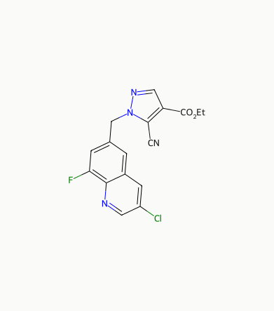 CCOC(=O)c1cnn(Cc2cc(F)c3ncc(Cl)cc3c2)c1C#N